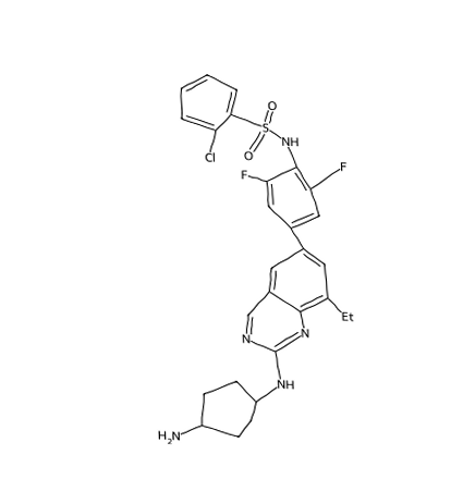 CCc1cc(-c2cc(F)c(NS(=O)(=O)c3ccccc3Cl)c(F)c2)cc2cnc(NC3CCC(N)CC3)nc12